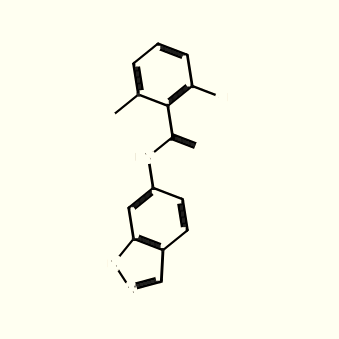 Cc1cccc(C(F)(F)F)c1C(=O)Nc1ccc2cn[nH]c2c1